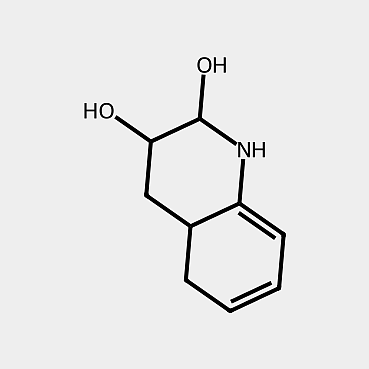 OC1CC2CC=CC=C2NC1O